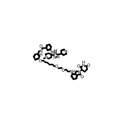 CN1CCC(Nc2cccc(C(=O)NCc3cccc(OCCCCCCOCCOCCNc4cccc5c4CN(C4CCC(=O)NC4=O)C5=O)c3)c2)(c2nnc(-c3ccncc3)[nH]2)CC1